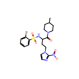 CC1CCN(C(=O)C(CCn2ccnc2[N+](=O)[O-])NS(=O)(=O)c2ccccc2Br)CC1